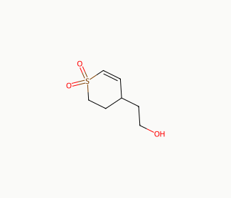 O=S1(=O)C=CC(CCO)CC1